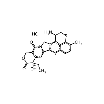 CC[C@@]1(O)C(=O)OCc2c1cc1n(c2=O)Cc2c-1nc1ccc(C)c3c1c2C(N)CS3.Cl